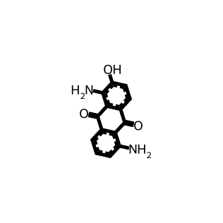 Nc1cccc2c1C(=O)c1ccc(O)c(N)c1C2=O